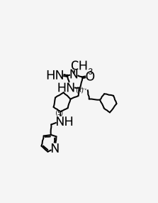 CN1C(=N)N[C@](CCC2CCCCC2)(CC2CCC[C@H](NCc3cccnc3)C2)C1=O